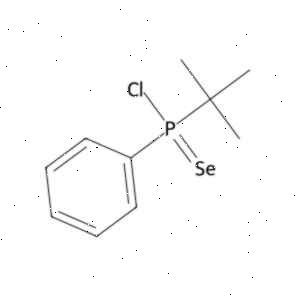 CC(C)(C)P(Cl)(=[Se])c1ccccc1